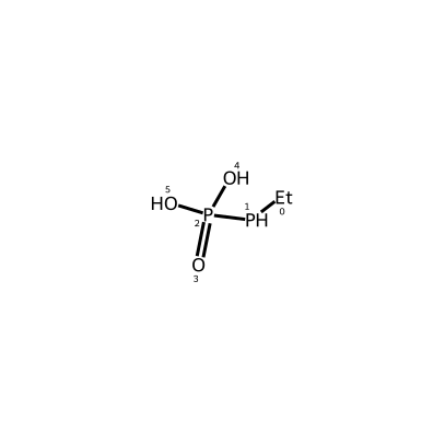 [CH2]CPP(=O)(O)O